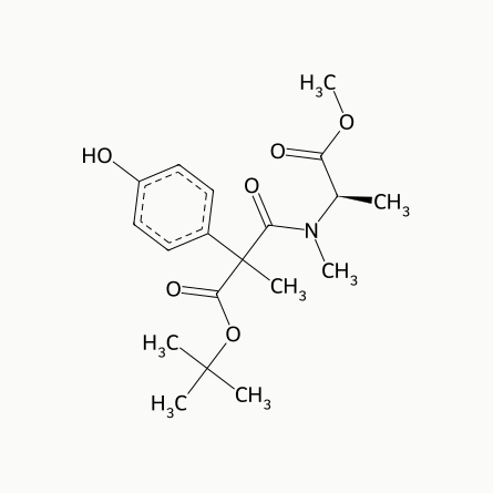 COC(=O)[C@@H](C)N(C)C(=O)C(C)(C(=O)OC(C)(C)C)c1ccc(O)cc1